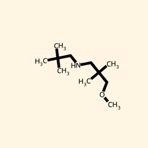 COCC(C)(C)CNCC(C)(C)C